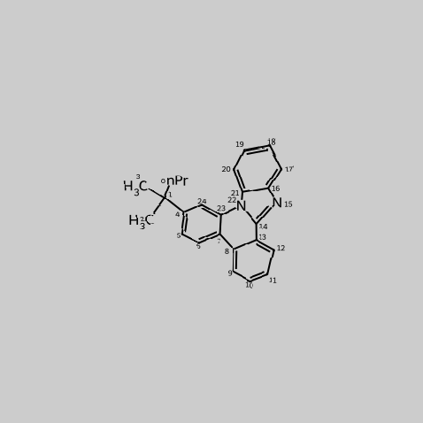 CCCC(C)(C)c1ccc2c3ccccc3c3nc4ccccc4n3c2c1